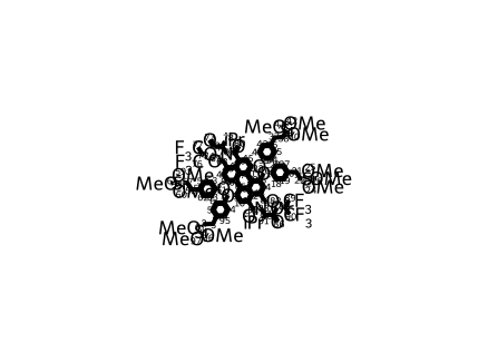 CO[Si](CCc1ccc(Oc2cc3c4c(cc(Oc5ccc(CC[Si](OC)(OC)OC)cc5)c5c6c(Oc7ccc(CC[Si](OC)(OC)OC)cc7)cc7c8c(cc(Oc9ccc(CC[Si](OC)(OC)OC)cc9)c(c2c45)c86)C(=O)N(C(C(=O)OC(C(F)(F)F)C(F)(F)F)C(C)C)C7=O)C(=O)N(C(C(=O)OC(C(F)(F)F)C(F)(F)F)C(C)C)C3=O)cc1)(OC)OC